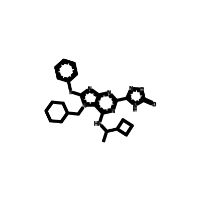 CC(Nc1nc(-c2noc(=O)[nH]2)nc2nc(Sc3ccccc3)n(CC3CCCCC3)c12)C1CCC1